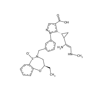 CC[C@@H]1CN(Cc2cccc(-n3ncc(C(=O)O)c3[C@@H]3CC3/C(N)=C/NC)c2)[S+]([O-])c2ccccc2O1